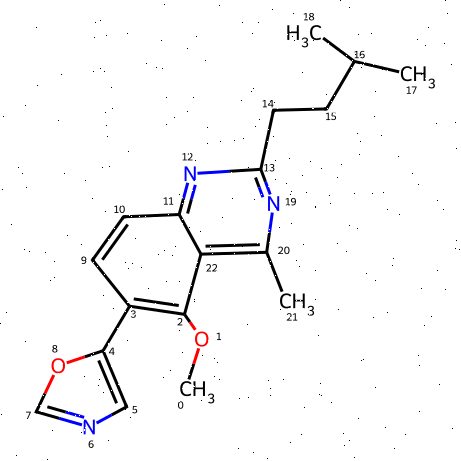 COc1c(-c2cnco2)ccc2nc(CCC(C)C)nc(C)c12